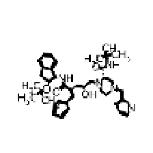 CC(C)(C)NC(=O)[C@@H]1CN(Cc2cccnc2)CCN1C[C@@H](O)C[C@@H](Cc1ccccc1)C(=O)N[C@H]1c2ccccc2C[C@H]1OC(C)(C)C